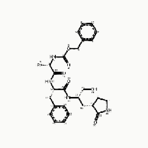 CC(C)[C@H](NC(=O)OCc1ccccc1)C(=O)N[C@@H](Cc1ccccc1)C(=O)N[C@H](CO)C[C@@H]1CCNC1=O